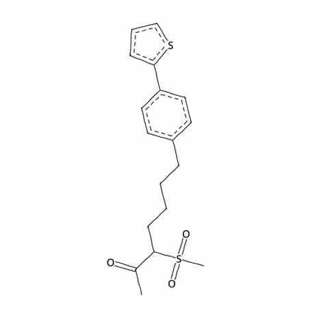 CC(=O)C(CCCCc1ccc(-c2cccs2)cc1)S(C)(=O)=O